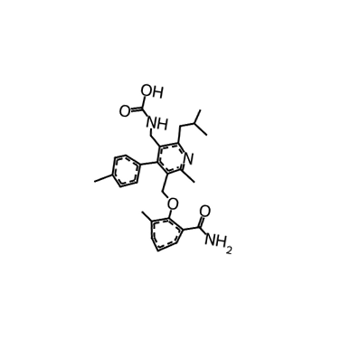 Cc1ccc(-c2c(COc3c(C)cccc3C(N)=O)c(C)nc(CC(C)C)c2CNC(=O)O)cc1